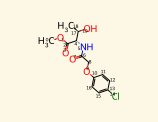 COC(=O)[C@@H](NC(=O)COc1ccc(Cl)cc1)[C@@H](C)O